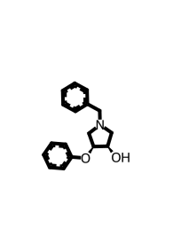 O[C@@H]1CN(Cc2ccccc2)C[C@@H]1Oc1ccccc1